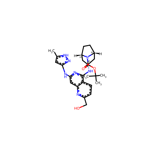 Cc1cc(Nc2cc3nc(CO)ccc3c(N[C@H]3C[C@H]4CC[C@@H](C3)N4C(=O)OC(C)(C)C)n2)n[nH]1